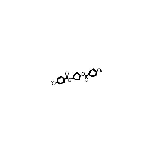 COc1ccc(C(=O)OC2CCC(OC(=O)c3ccc(OC)cc3)CC2)cc1